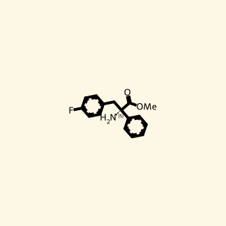 COC(=O)[C@](N)(Cc1ccc(F)cc1)c1ccccc1